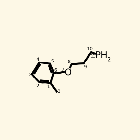 Cc1ccccc1OCCCP